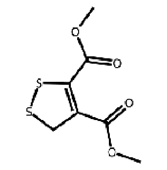 COC(=O)C1=C(C(=O)OC)SSC1